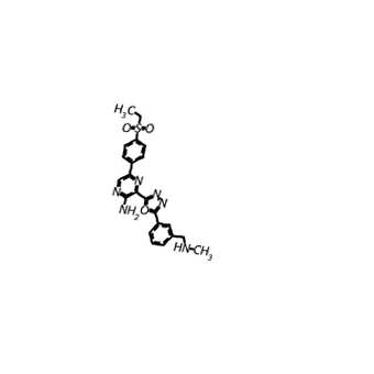 CCS(=O)(=O)c1ccc(-c2cnc(N)c(-c3nnc(-c4cccc(CNC)c4)o3)n2)cc1